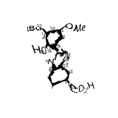 COc1cc(-n2nc3ccc(C(=O)O)cc3n2)c(O)c(C(C)(C)C)c1